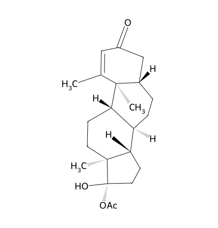 CC(=O)O[C@@]1(O)CC[C@H]2[C@@H]3CC[C@H]4CC(=O)C=C(C)[C@]4(C)[C@H]3CC[C@@]21C